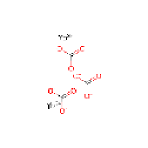 O=C([O-])[O-].O=C([O-])[O-].O=C([O-])[O-].[Yb+3].[Yb+3]